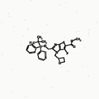 COC(=O)c1sc2nc(CO[Si](c3ccccc3)(c3ccccc3)C(C)(C)C)n(CC3CCO3)c2c1F